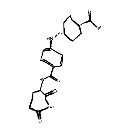 O=C1CCC(NC(=O)c2ccc(N[C@H]3CC[C@H](C(=O)O)CC3)cn2)C(=O)N1